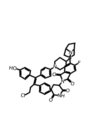 O=C1CCC(N2C(=O)c3cc(F)c(N4CC5CCC(C4)N5CC4CCN(c5ccc(C(=C(CCCl)c6ccccc6)c6ccc(O)cc6)cc5)CC4)cc3C2=O)C(=O)N1